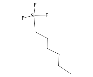 CCCCCC[Si](F)(F)F